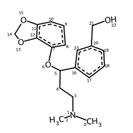 CN(C)CCC(Oc1cccc2c1OCO2)c1cccc(CO)c1